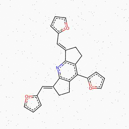 C(=C1CCc2c1nc1c(c2-c2ccco2)CCC1=Cc1ccco1)c1ccco1